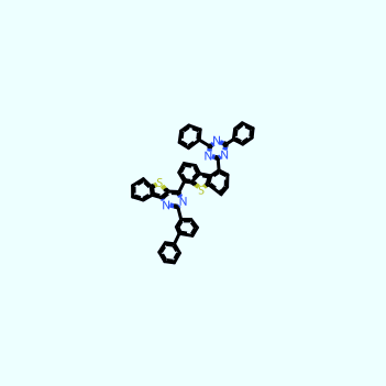 c1ccc(-c2cccc(-c3nc(-c4cccc5c4sc4cccc(-c6nc(-c7ccccc7)nc(-c7ccccc7)n6)c45)c4sc5ccccc5c4n3)c2)cc1